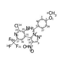 COc1ccc(Cn2ncc([N+](=O)[O-])c2-c2cc(C(F)(F)F)nc(Cl)c2N)cc1